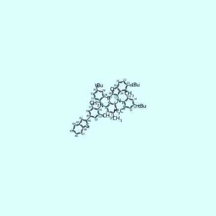 Cc1cc2c3c(c1)N(c1c(C)cc(C(C)(C)C)cc1C)c1c(oc4ccc(C(C)(C)C)cc14)B3c1cc(C(C)(C)C)ccc1N2c1c(C)cc(-c2cc3ccccc3s2)cc1C